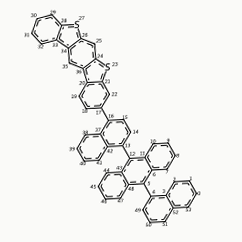 c1ccc2c(-c3c4ccccc4c(-c4ccc(-c5ccc6c(c5)sc5cc7sc8ccccc8c7cc56)c5ccccc45)c4ccccc34)cccc2c1